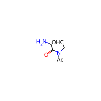 CC(=O)N(C[C]=O)C(=O)CN